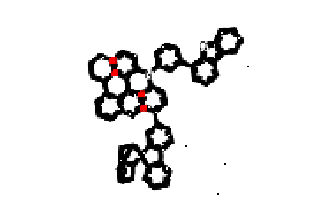 c1cc(-c2cccc3c2oc2ccccc23)cc(N(c2ccc(-c3ccc4c(c3)C3(c5ccccc5-4)C4CC5CC(C4)C3C5)cc2)c2ccccc2-c2cccc3cccc(C4CCCCC4)c23)c1